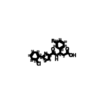 O=C(O)CC(NC(=O)c1csc(-c2ccccc2Cl)n1)c1cccc(F)c1